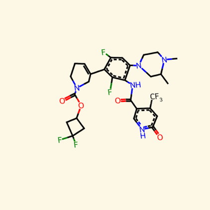 CC1CN(c2cc(F)c(C3=CCCN(C(=O)OC4CC(F)(F)C4)C3)c(F)c2NC(=O)c2c[nH]c(=O)cc2C(F)(F)F)CCN1C